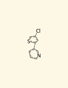 Clc1csc(-c2cccnc2)c1